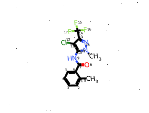 Cc1ccccc1C(=O)Nc1c(Cl)c(C(F)(F)F)nn1C